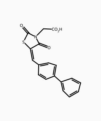 O=C(O)CN1C(=O)SC(=Cc2ccc(-c3ccccc3)cc2)C1=O